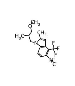 [C-]#[N+]c1ccc2c(cc(C)n2CC(C)COC)c1C(F)(F)F